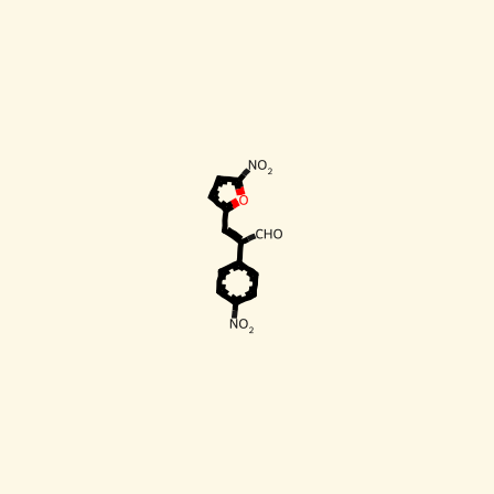 O=CC(=Cc1ccc([N+](=O)[O-])o1)c1ccc([N+](=O)[O-])cc1